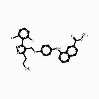 CCCc1onc(-c2c(Cl)cccc2Cl)c1COc1ccc(Nc2cccc3ccc(C(=O)OC)cc23)cc1